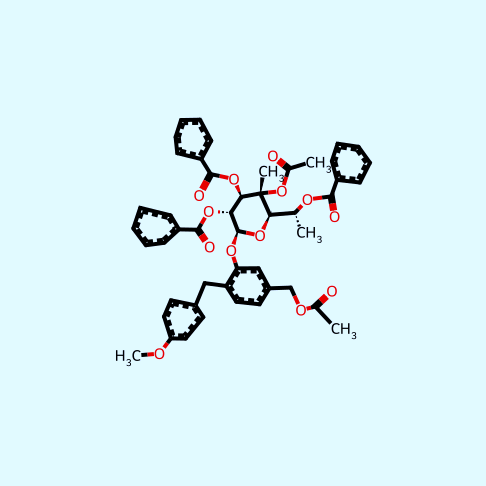 COc1ccc(Cc2ccc(COC(C)=O)cc2O[C@@H]2O[C@H]([C@@H](C)OC(=O)c3ccccc3)[C@@](C)(OC(C)=O)[C@H](OC(=O)c3ccccc3)[C@H]2OC(=O)c2ccccc2)cc1